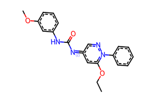 CCOc1c/c(=N/C(=O)Nc2cccc(OC)c2)cnn1-c1ccccc1